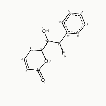 O=C1C=CCC(C(O)C(F)c2ccccc2)O1